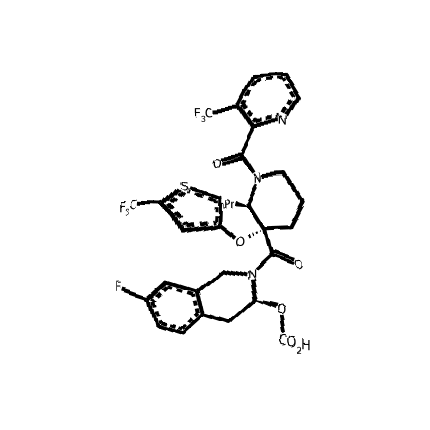 CCC[C@H]1N(C(=O)c2ncccc2C(F)(F)F)CCC[C@@]1(Oc1csc(C(F)(F)F)c1)C(=O)N1Cc2cc(F)ccc2C[C@@H]1OC(=O)O